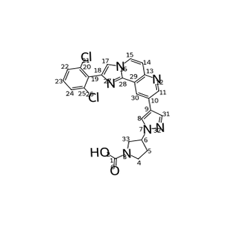 O=C(O)N1CCC(n2cc(-c3cnc4ccn5cc(-c6c(Cl)cccc6Cl)nc5c4c3)cn2)C1